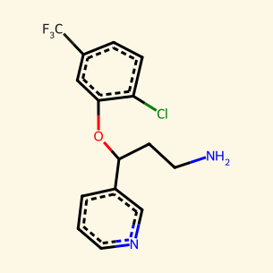 NCCC(Oc1cc(C(F)(F)F)ccc1Cl)c1cccnc1